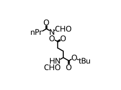 CCCC(=O)N(C=O)OC(=O)CCC(NC=O)C(=O)OC(C)(C)C